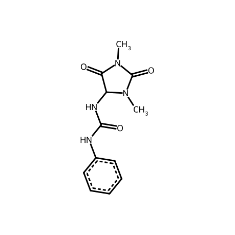 CN1C(=O)C(NC(=O)Nc2ccccc2)N(C)C1=O